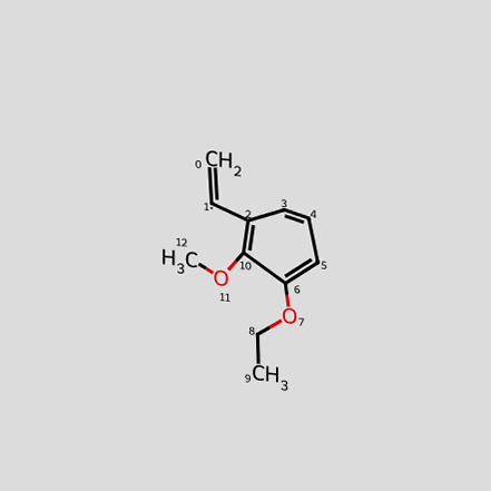 C=[C]c1cccc(OCC)c1OC